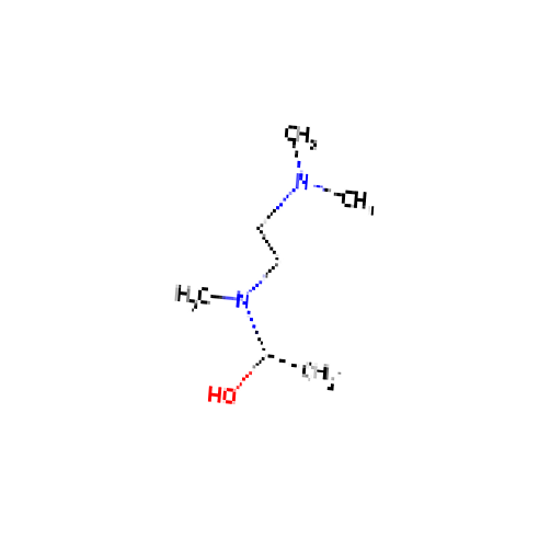 [CH2]C(O)N(C)CCN(C)C